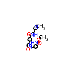 CCOC(=O)Nc1cccc(Cn2nc(-c3ccc(C(=O)NCCC4CCN(C)C4)cc3)ccc2=O)c1